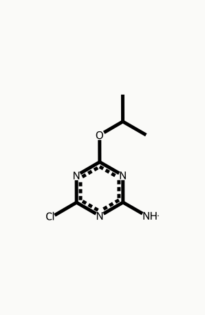 CC(C)Oc1nc([NH])nc(Cl)n1